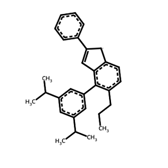 CCCc1ccc2c(c1-c1cc(C(C)C)cc(C(C)C)c1)C=C(c1ccccc1)[CH]2